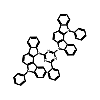 c1ccc(-c2nc(-n3c4ccccc4c4c3ccc3c5ccccc5n(-c5ccccc5)c34)nc(-n3c4ccccc4c4ccc5c(c6ccccc6n5-c5ccccc5)c43)n2)cc1